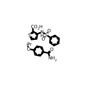 CC(C)Oc1ccc(C(N)=O)cc1.O=C(O)c1sccc1NS(=O)(=O)c1ccccc1